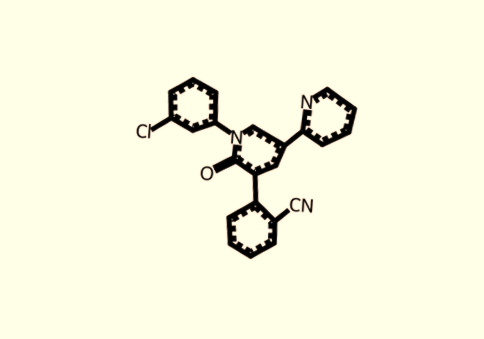 N#Cc1ccccc1-c1cc(-c2ccccn2)cn(-c2cccc(Cl)c2)c1=O